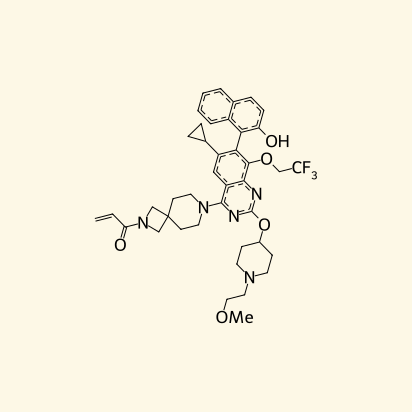 C=CC(=O)N1CC2(CCN(c3nc(OC4CCN(CCOC)CC4)nc4c(OCC(F)(F)F)c(-c5c(O)ccc6ccccc56)c(C5CC5)cc34)CC2)C1